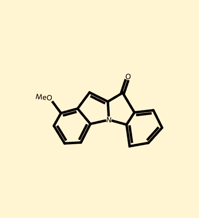 COc1cccc2c1cc1n2-c2ccccc2C1=O